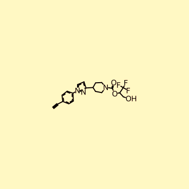 C#Cc1ccc(-n2ccc(C3CCN(C(=O)OC(CO)C(F)(F)F)CC3)n2)cc1